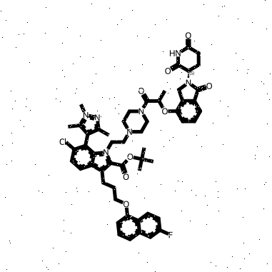 Cc1nn(C)c(C)c1-c1c(Cl)ccc2c(CCCOc3cccc4cc(F)ccc34)c(C(=O)OC(C)(C)C)n(CCN3CCN(C(=O)C(C)Oc4cccc5c4CN([C@H]4CCC(=O)NC4=O)C5=O)CC3)c12